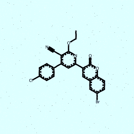 CCOc1nc(-c2cc3cc(Br)ccc3oc2=O)cc(-c2ccc(Cl)cc2)c1C#N